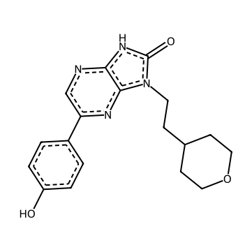 O=c1[nH]c2ncc(-c3ccc(O)cc3)nc2n1CCC1CCOCC1